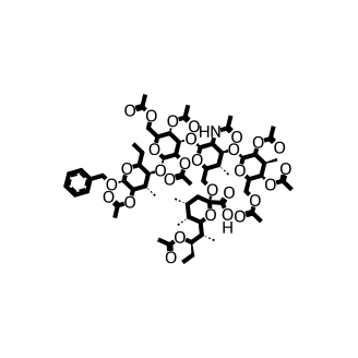 CCC1O[C@@H](OCc2ccccc2)C(OC(C)=O)[C@@H](C)[C@@H]1O[C@@H]1OC(COC(C)=O)[C@H](OC(C)=O)[C@H](O[C@@H]2OC(CO[C@]3(C(=O)O)C[C@@H](C)[C@@H](C)C([C@H](C)[C@@H](CC)OC(C)=O)O3)[C@@H](C)[C@H](O[C@@H]3OC(COC(C)=O)[C@H](OC(C)=O)[C@H](C)C3OC(C)=O)C2NC(C)=O)C1OC(C)=O